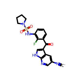 [C-]#[N+]c1cnc2[nH]cc(C(=O)c3cccc(NS(=O)(=O)N4CCCC4)c3F)c2c1